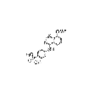 COc1cccc2c(Nc3ccc(P(=O)(O)O)cc3)ncnc12